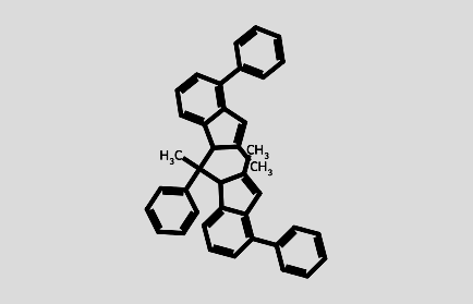 CC1=Cc2c(-c3ccccc3)cccc2C1C(C)(c1ccccc1)C1C(C)=Cc2c(-c3ccccc3)cccc21